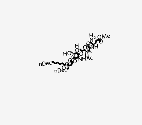 CCCCCCCCCCCCCCCC(=O)O[C@H](CCCCCCCCCCC)CC(=O)O[C@H]1O[C@H](CO)[C@@H](O)[C@@H](OC(C)C(=O)N[C@@H](C)C(=O)N[C@H](CCC(=O)OC)C(N)=O)[C@H]1NC(C)=O